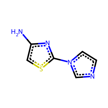 Nc1csc(-n2ccnc2)n1